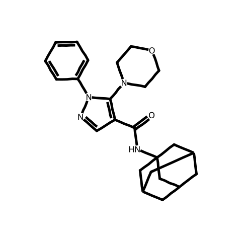 O=C(NC12CC3CC(CC(C3)C1)C2)c1cnn(-c2ccccc2)c1N1CCOCC1